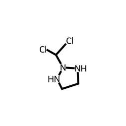 ClC(Cl)N1NCCN1